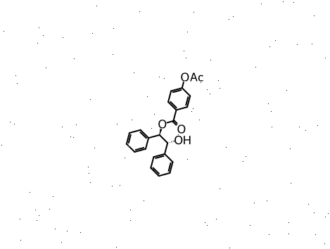 CC(=O)Oc1ccc(C(=O)O[C@H](c2ccccc2)[C@H](O)c2ccccc2)cc1